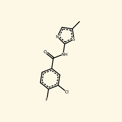 Cc1cnc(NC(=O)c2ccc(F)c(Cl)c2)s1